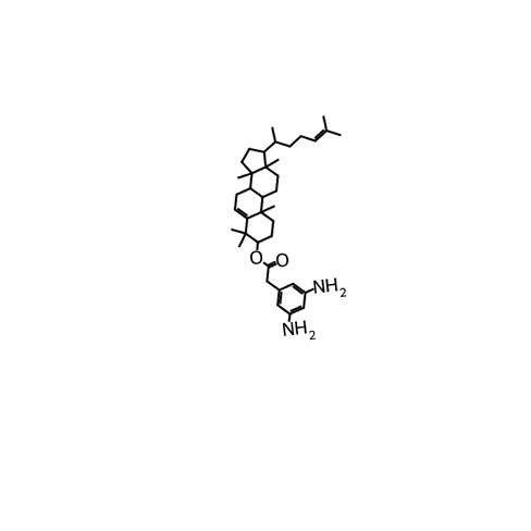 CC(C)=CCCC(C)C1CCC2(C)C3CC=C4C(C)(C)C(OC(=O)Cc5cc(N)cc(N)c5)CCC4(C)C3CCC12C